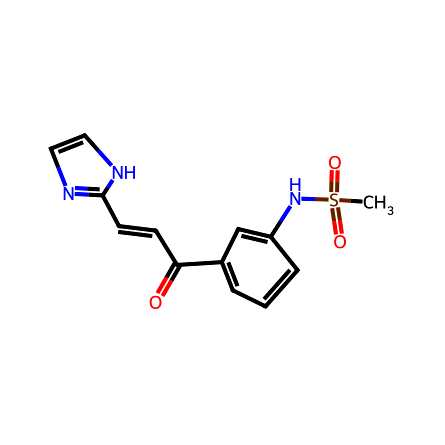 CS(=O)(=O)Nc1cccc(C(=O)C=Cc2ncc[nH]2)c1